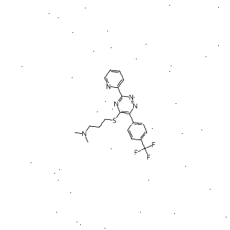 CN(C)CCCSc1nc(-c2ccccn2)nnc1-c1ccc(C(F)(F)F)cc1